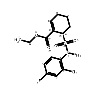 [2H]N(c1ccc(F)cc1Cl)S(=O)(=O)[C@@H]1CCCC=C1C(=O)OCC